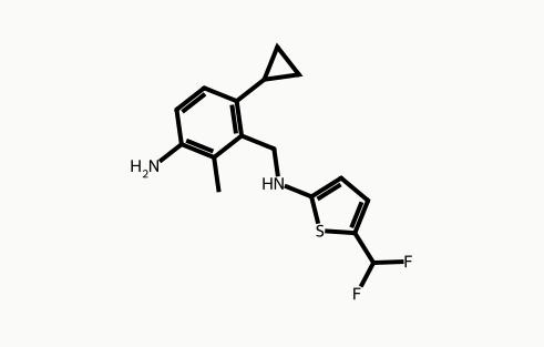 Cc1c(N)ccc(C2CC2)c1CNc1ccc(C(F)F)s1